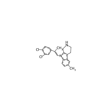 C/C(=C\n1c2c(c3cc(C)ccc31)CCNC2)c1ccc(Cl)c(Cl)c1